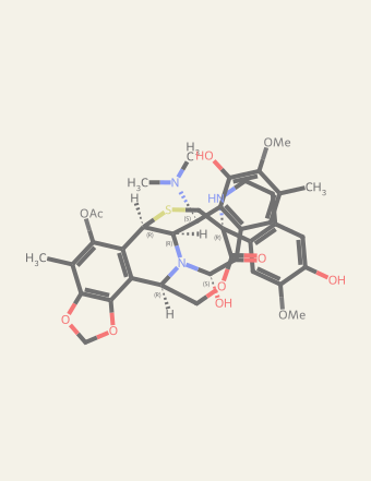 COc1cc2c(cc1O)CCN[C@]21CS[C@@H]2c3c(OC(C)=O)c(C)c4c(c3[C@H](COC1=O)N1[C@@H]2[C@@H](N(C)C)c2c(cc(C)c(OC)c2O)C[C@@H]1O)OCO4